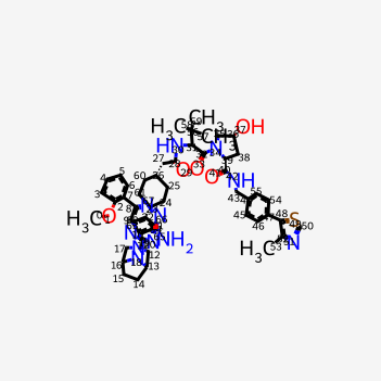 COc1ccccc1-c1cc(N2CC3CCC(C2)N3c2ncc([C@H]3CC[C@@H](CC(=O)NC(C(=O)N4C[C@H](O)C[C@H]4C(=O)NCc4ccc(-c5scnc5C)cc4)C(C)(C)C)CC3)cn2)c(N)nn1